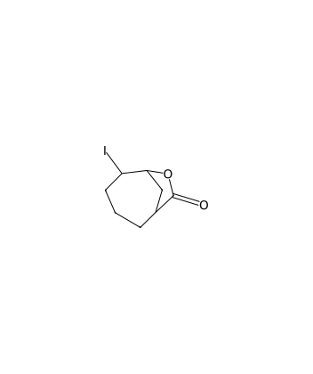 O=C1OC2CC1CCCC2I